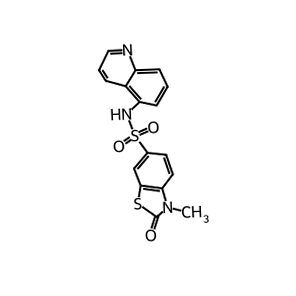 Cn1c(=O)sc2cc(S(=O)(=O)Nc3cccc4ncccc34)ccc21